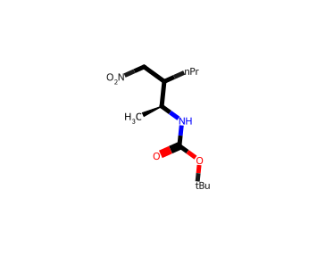 CCCC(C[N+](=O)[O-])[C@H](C)NC(=O)OC(C)(C)C